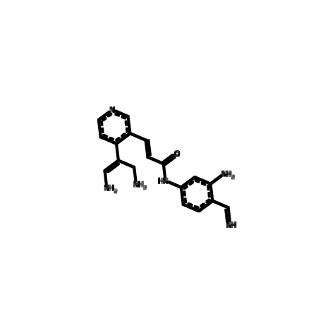 N=Cc1ccc(NC(=O)/C=C/c2cnccc2/C(=C/N)CN)cc1N